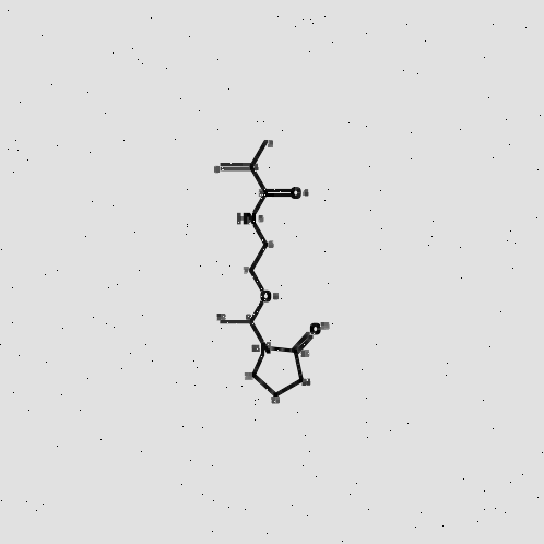 C=C(C)C(=O)NCCOC(C)N1CCCC1=O